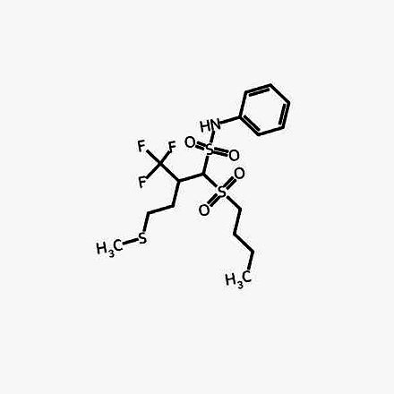 CCCCS(=O)(=O)C(C(CCSC)C(F)(F)F)S(=O)(=O)Nc1ccccc1